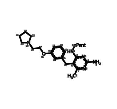 CCCCCNc1nc(N)nc(C)c1Cc1cccc(OCCN2CCCC2)c1